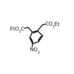 CCOC(=O)Cc1ccc([N+](=O)[O-])cc1CC(=O)OCC